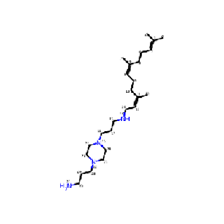 CC(C)=CCCC(C)=CCCC(C)=CCNCCCN1CCN(CCCN)CC1